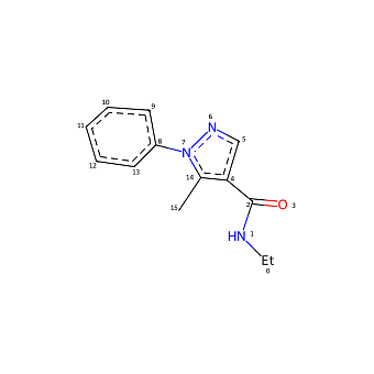 CCNC(=O)c1cnn(-c2ccccc2)c1C